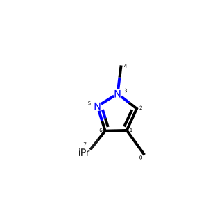 Cc1cn(C)nc1C(C)C